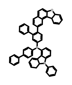 C1=CCC2C(=C1)c1c(N(c3ccc(-c4ccccc4)cc3)c3ccc(-c4ccc5ccc6c(c5c4)C4C=CC=CC4O6)c(-c4ccccc4)c3)cccc1N2c1ccccc1